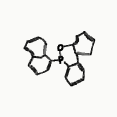 c1ccc2c(c1)OP(c1cccc3ccccc13)c1ccccc1-2